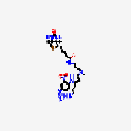 CN(CCCNC(=O)CCCC[C@@H]1SC[C@@H]2NC(=O)N[C@@H]21)CCC(CCCN)Nc1ccc(N=[N+]=[N-])cc1[N+](=O)[O-]